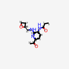 CCC(=O)Nc1ccc(C(C)=O)nc1NC[C@@H]1CCO1